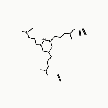 C=C.C=C.C=C.CN(C)CCCC1CN(CCCN(C)C)NN(CCCN(C)C)C1